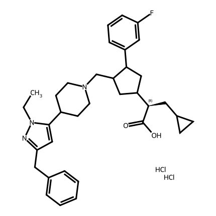 CCn1nc(Cc2ccccc2)cc1C1CCN(CC2CC([C@@H](CC3CC3)C(=O)O)CC2c2cccc(F)c2)CC1.Cl.Cl